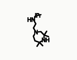 CC(C)NCCN1CCC(C)(C)NC(C)(C)C1